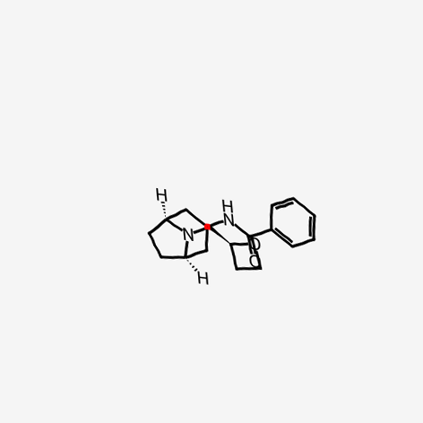 O=C(NC1C[C@H]2CC[C@@H](C1)N2C[C@@H]1CCO1)c1ccccc1